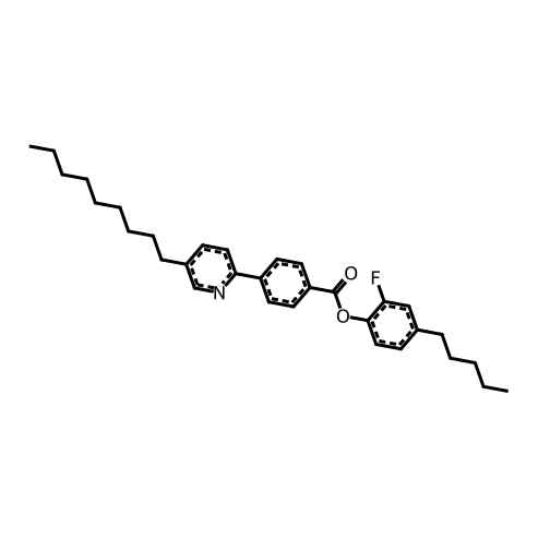 CCCCCCCCCc1ccc(-c2ccc(C(=O)Oc3ccc(CCCCC)cc3F)cc2)nc1